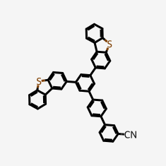 N#Cc1cccc(-c2ccc(-c3cc(-c4ccc5sc6ccccc6c5c4)cc(-c4ccc5sc6ccccc6c5c4)c3)cc2)c1